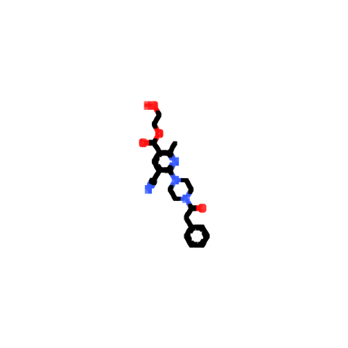 Cc1nc(N2CCN(C(=O)Cc3ccccc3)CC2)c(C#N)cc1C(=O)OCCO